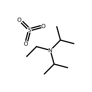 CCN(C(C)C)C(C)C.O=S(=O)=O